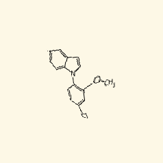 COc1cc(Cl)ccc1-n1ccc2c[c]ccc21